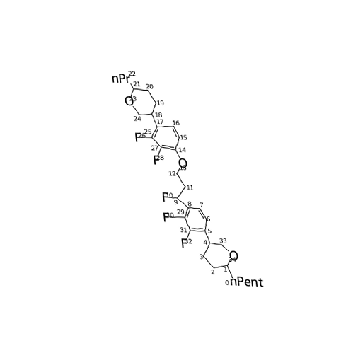 CCCCCC1CCC(c2ccc(C(F)CCOc3ccc(C4CCC(CCC)OC4)c(F)c3F)c(F)c2F)CO1